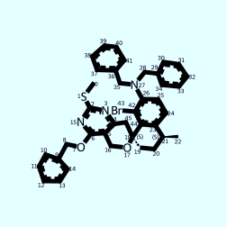 CSc1nc2c(c(OCc3ccccc3)n1)CO[C@@]1(CC[C@H](C)c3ccc(N(Cc4ccccc4)Cc4ccccc4)c(Br)c31)C2